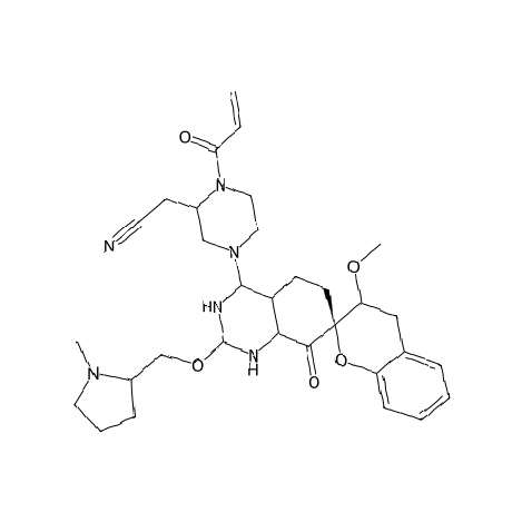 C=CC(=O)N1CCN(C2NC(OCC3CCCN3C)NC3C(=O)[C@@]4(CCC32)Oc2ccccc2CC4OC)CC1CC#N